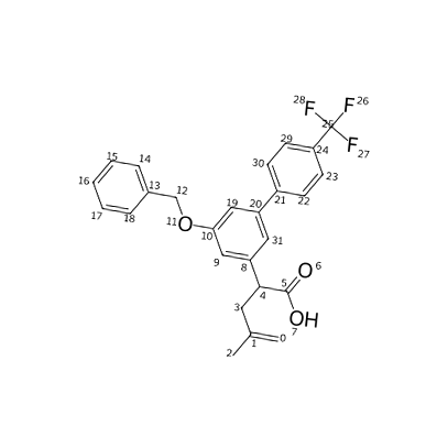 C=C(C)CC(C(=O)O)c1cc(OCc2ccccc2)cc(-c2ccc(C(F)(F)F)cc2)c1